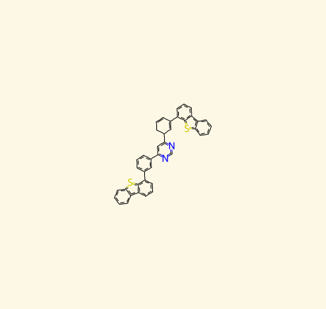 C1=CC(c2cccc3c2sc2ccccc23)=CC(c2cc(-c3cccc(-c4cccc5c4sc4ccccc45)c3)ncn2)C1